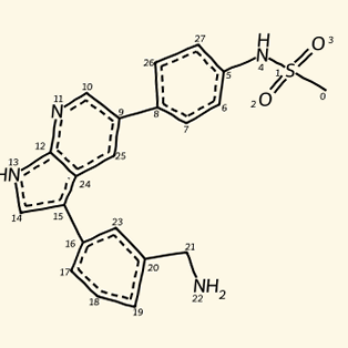 CS(=O)(=O)Nc1ccc(-c2cnc3[nH]cc(-c4cccc(CN)c4)c3c2)cc1